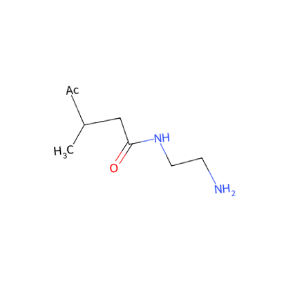 CC(=O)C(C)CC(=O)NCCN